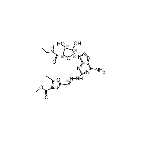 CCNC(=O)[C@H]1O[C@@H](n2cnc3c(N)nc(N/N=C/c4cc(C(=O)OC)c(C)o4)nc32)[C@H](O)[C@@H]1O